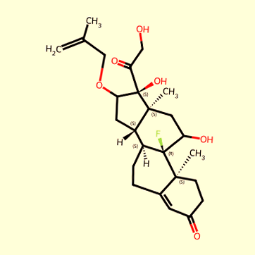 C=C(C)COC1C[C@H]2[C@@H]3CCC4=CC(=O)CC[C@]4(C)[C@@]3(F)C(O)C[C@]2(C)[C@@]1(O)C(=O)CO